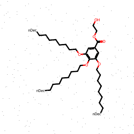 CCCCCCCCCCCCCCCCCCOc1cc(C(=O)OCCO)cc(OCCCCCCCCCCCCCCCCCC)c1OCCCCCCCCCCCCCCCCCC